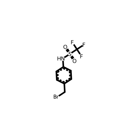 O=S(=O)(Nc1ccc(CBr)cc1)C(F)(F)F